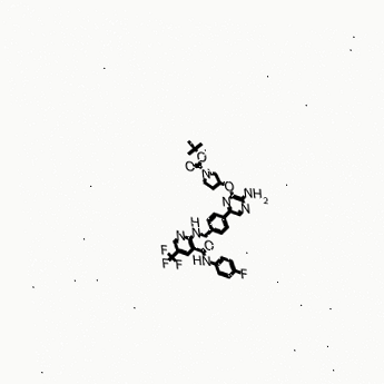 CC(C)(C)OC(=O)N1CCC(Oc2nc(-c3ccc(CNc4ncc(C(F)(F)F)cc4C(=O)Nc4ccc(F)cc4)cc3)cnc2N)C1